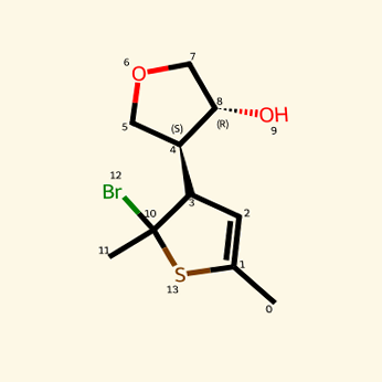 CC1=CC([C@H]2COC[C@@H]2O)C(C)(Br)S1